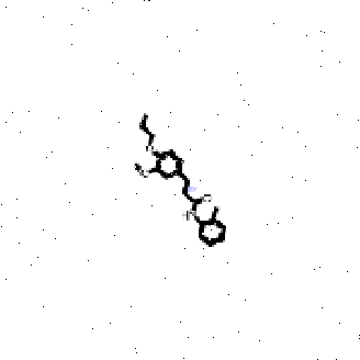 CCCOc1ccc(/C=C/C(=O)Nc2ccccc2C)cc1OC